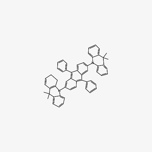 CC1(C)C2=C(CCC=C2)N(c2ccc3c(-c4ccccc4)c4cc(N5c6ccccc6C(C)(C)c6ccccc65)ccc4c(-c4ccccc4)c3c2)c2ccccc21